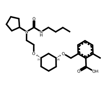 CCCCNC(=O)N(CCO[C@H]1CCC[C@@H](OCc2cccc(C)c2C(=O)O)C1)C1CCCC1